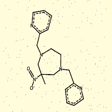 CC1([N+](=O)[O-])CN(Cc2ccccn2)CCN(Cc2ccccn2)C1